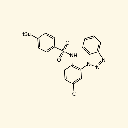 CC(C)(C)c1ccc(S(=O)(=O)Nc2ccc(Cl)cc2-n2nnc3ccccc32)cc1